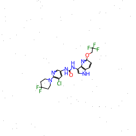 O=C(Nc1cnc(N2CCC(F)(F)CC2)c(Cl)c1)Nc1c[nH]c2ccc(OCC(F)(F)F)nc12